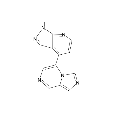 c1cc(-c2cncc3cncn23)c2cn[nH]c2n1